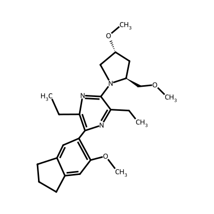 CCc1nc(N2C[C@H](OC)C[C@H]2COC)c(CC)nc1-c1cc2c(cc1OC)CCC2